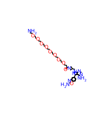 NCCOCCOCCOCCOCCOCCOCCOCCOCCC(=O)N1CC(Cn2nc(-c3ccc4oc(N)nc4c3)c3c(N)ncnc32)C1